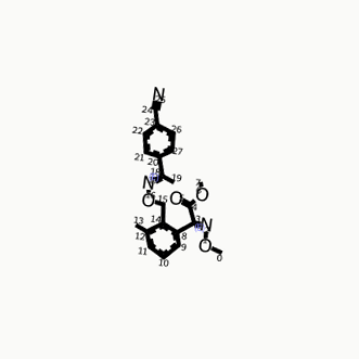 CO/N=C(/C(=O)OC)c1cccc(C)c1CO/N=C(\C)c1ccc(C#N)cc1